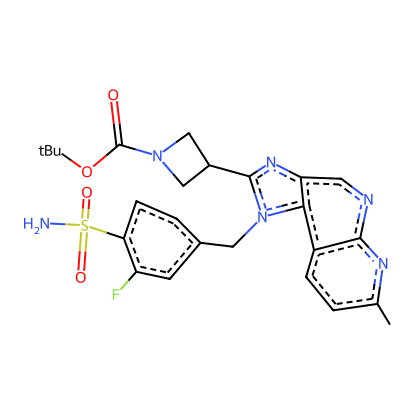 Cc1ccc2c(ncc3nc(C4CN(C(=O)OC(C)(C)C)C4)n(Cc4ccc(S(N)(=O)=O)c(F)c4)c32)n1